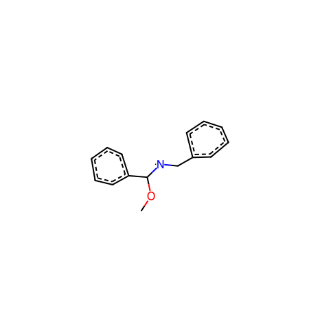 COC([N]Cc1ccccc1)c1ccccc1